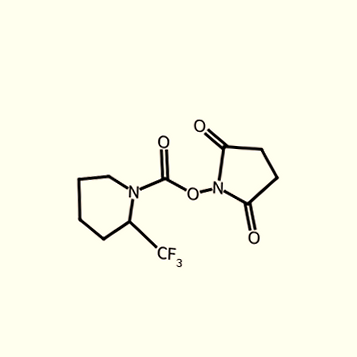 O=C1CCC(=O)N1OC(=O)N1CCCCC1C(F)(F)F